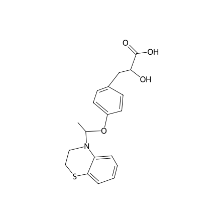 CC(Oc1ccc(CC(O)C(=O)O)cc1)N1CCSc2ccccc21